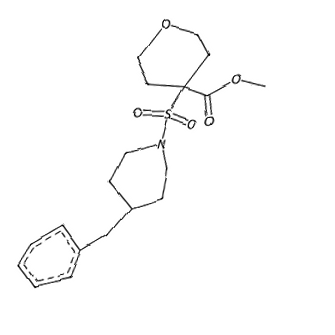 COC(=O)C1(S(=O)(=O)N2CCC(Cc3ccccc3)CC2)CCOCC1